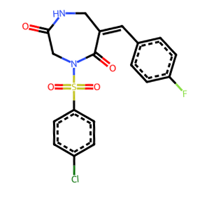 O=C1CN(S(=O)(=O)c2ccc(Cl)cc2)C(=O)C(=Cc2ccc(F)cc2)CN1